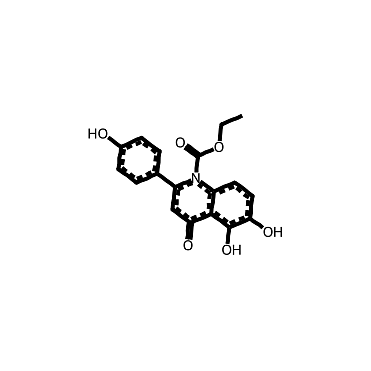 CCOC(=O)n1c(-c2ccc(O)cc2)cc(=O)c2c(O)c(O)ccc21